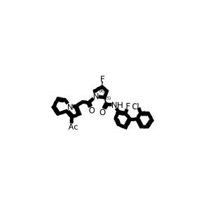 CC(=O)c1cc(CC(=O)N2C[C@H](F)C[C@H]2C(=O)Nc2cccc(-c3ccccc3Cl)c2F)n2ccccc12